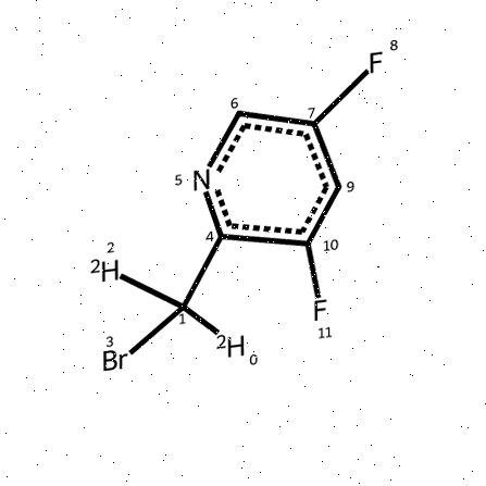 [2H]C([2H])(Br)c1ncc(F)cc1F